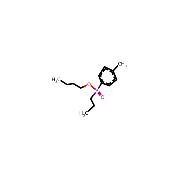 CCCCOP(=O)(CCC)c1ccc(C)cc1